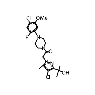 COc1cc(N2CCN(C(=O)Cn3nc(C(C)(C)O)c(Cl)c3C)CC2)c(F)cc1Cl